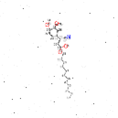 CCCCCCCCCCCCOC(=O)C=C(C#N)c1ccc(OC)c(OC)c1